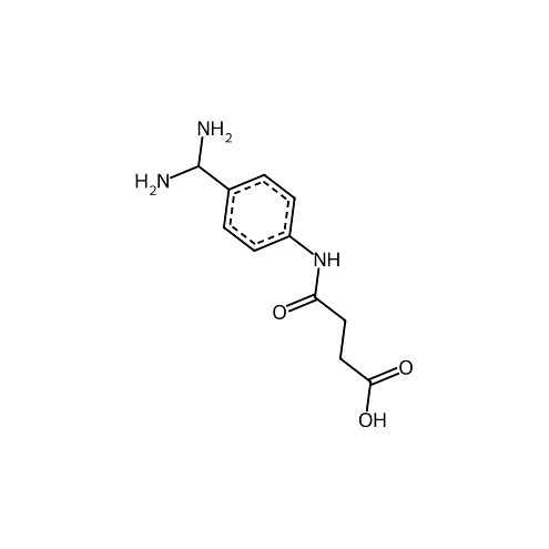 NC(N)c1ccc(NC(=O)CCC(=O)O)cc1